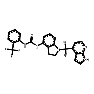 [2H]C([2H])(c1ccnc2[nH]ccc12)N1CCc2c(NC(=O)Nc3ccccc3C(F)(F)F)cccc21